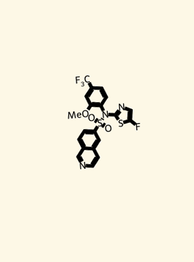 COc1cc(C(F)(F)F)ccc1N(c1ncc(F)s1)S(=O)(=O)c1ccc2cnccc2c1